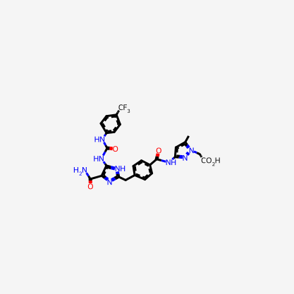 Cc1cc(NC(=O)c2ccc(Cc3nc(C(N)=O)c(NC(=O)Nc4ccc(C(F)(F)F)cc4)[nH]3)cc2)nn1CC(=O)O